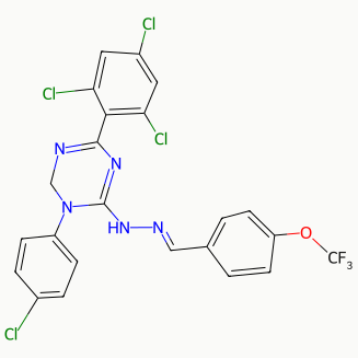 FC(F)(F)Oc1ccc(C=NNC2=NC(c3c(Cl)cc(Cl)cc3Cl)=NCN2c2ccc(Cl)cc2)cc1